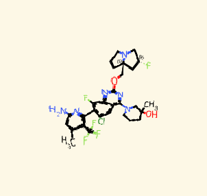 Cc1cc(N)nc(-c2c(Cl)cc3c(N4CCCC(C)(O)C4)nc(OC[C@@]45CCCN4C[C@H](F)C5)nc3c2F)c1C(F)(F)F